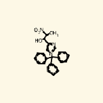 CC(C(O)c1cn(C(c2ccccc2)(c2ccccc2)c2ccccc2)cn1)[N+](=O)[O-]